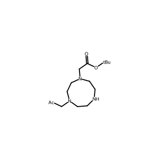 CC(=O)CN1CCNCCN(CC(=O)OC(C)(C)C)CC1